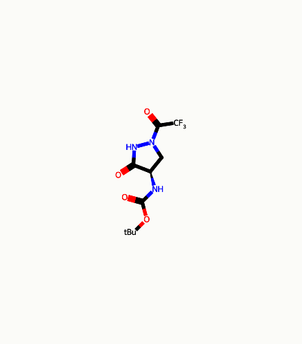 CC(C)(C)OC(=O)N[C@@H]1CN(C(=O)C(F)(F)F)NC1=O